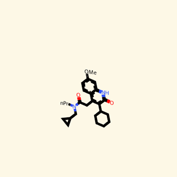 CCCN(CC1CC1)C(=O)Cc1c(C2CCCCC2)c(=O)[nH]c2cc(OC)ccc12